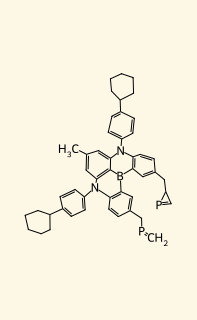 C=PCc1ccc2c(c1)B1c3cc(CC4C=P4)ccc3N(c3ccc(C4CCCCC4)cc3)c3cc(C)cc(c31)N2c1ccc(C2CCCCC2)cc1